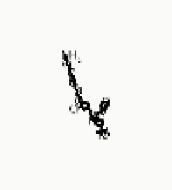 Cc1noc(C)c1-c1ccc2c(c1)nc(CCc1ccc(OCCOCCOCCOCCOCCN)c(Cl)c1)n2C[C@H](C)N1CCOCC1